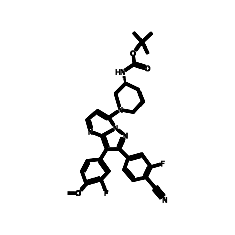 COc1ccc(-c2c(-c3ccc(C#N)c(F)c3)nn3c(N4CCC[C@@H](NC(=O)OC(C)(C)C)C4)ccnc23)cc1F